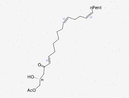 CCCCC/C=C\CC/C=C\CCCCC/C=C/C(=O)C[C@@H](O)COC(C)=O